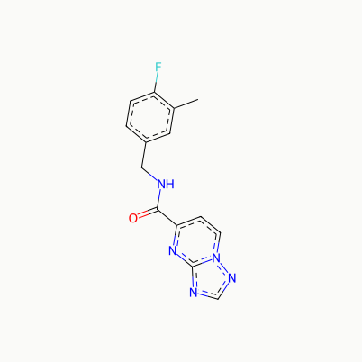 Cc1cc(CNC(=O)c2ccn3ncnc3n2)ccc1F